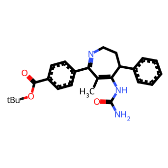 CC1=C(NC(N)=O)C(c2ccccc2)CCN=C1c1ccc(C(=O)OC(C)(C)C)cc1